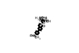 CC[C@@H](C)N(C)c1ccc(-c2ccc3c(=O)n(CC[C@](C)(C(=O)NO)S(C)(=O)=O)ccc3c2)cc1